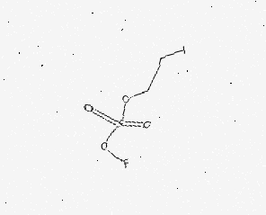 O=S(=O)(OF)OCCI